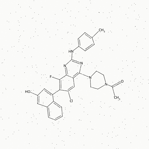 CC(=O)N1CCN(c2nc(Nc3ccc(C)cc3)nc3c(F)c(-c4cc(O)cc5ccccc45)c(Cl)cc23)CC1